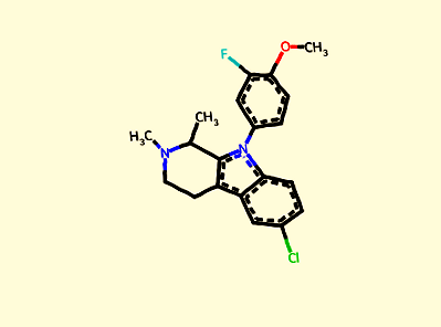 COc1ccc(-n2c3c(c4cc(Cl)ccc42)CCN(C)C3C)cc1F